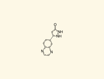 O=c1cc(-c2ccc3nccnc3c2)[nH][nH]1